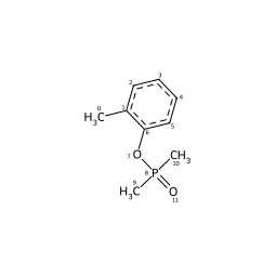 Cc1ccccc1OP(C)(C)=O